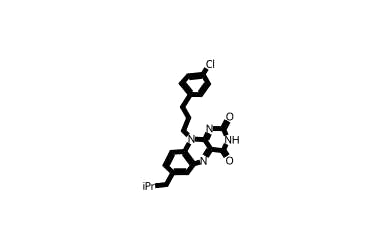 CC(C)Cc1ccc2c(c1)nc1c(=O)[nH]c(=O)nc-1n2CCCc1ccc(Cl)cc1